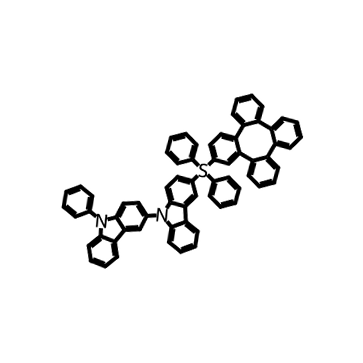 c1ccc(-n2c3ccccc3c3cc(-n4c5ccccc5c5cc(S(c6ccccc6)(c6ccccc6)c6ccc7c(c6)-c6ccccc6-c6ccccc6-c6ccccc6-7)ccc54)ccc32)cc1